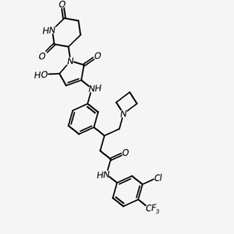 O=C1CCC(N2C(=O)C(Nc3cccc(C(CC(=O)Nc4ccc(C(F)(F)F)c(Cl)c4)CN4CCC4)c3)=CC2O)C(=O)N1